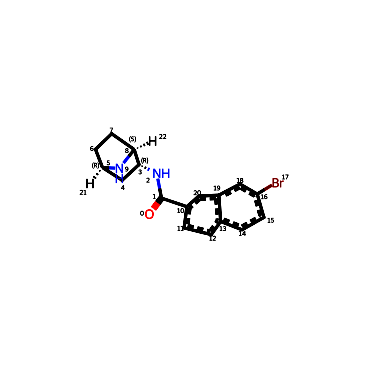 O=C(N[C@@H]1C[C@H]2CC[C@@H]1N2)c1ccc2ccc(Br)cc2c1